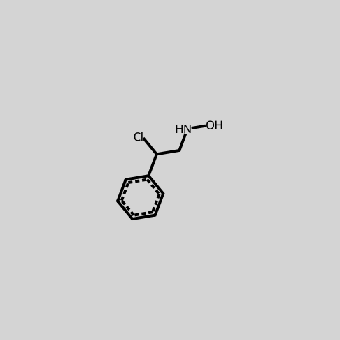 ONCC(Cl)c1ccccc1